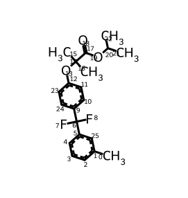 Cc1cccc(C(F)(F)c2ccc(OC(C)(C)C(=O)OC(C)C)cc2)c1